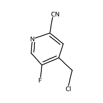 N#Cc1cc(CCl)c(F)cn1